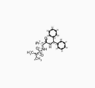 CC(C)[C@@H](NS(=O)(=O)N(C)C)C(=O)NC(c1ccccc1)c1ccccc1